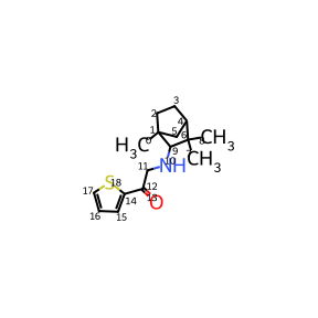 CC12CCC(C1)C(C)(C)C2NCC(=O)c1cccs1